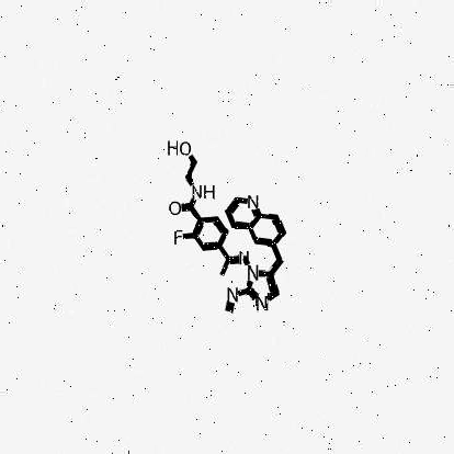 C=Nc1ncc(Cc2ccc3ncccc3c2)n1/N=C(\C)c1ccc(C(=O)NCCO)c(F)c1